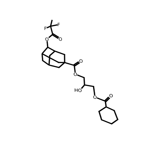 CC(F)(F)C(=O)OC1C2CC3CC1CC(C(=O)OCC(O)COC(=O)C1CCCCC1)(C3)C2